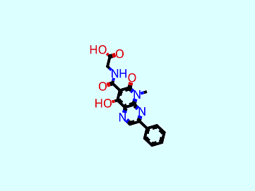 Cn1c(=O)c(C(=O)NCC(=O)O)c(O)c2ncc(-c3ccccc3)nc21